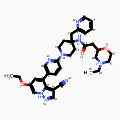 CCOc1cc(-c2ccc(N3CCC(Cc4ccccn4)(NC(=O)CC4CN(CC)CCO4)CC3)nc2)c2c(C#N)cnn2c1